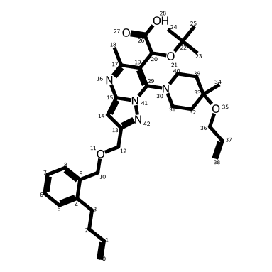 C=CCCc1ccccc1COCc1cc2nc(C)c(C(OC(C)(C)C)C(=O)O)c(N3CCC(C)(OCC=C)CC3)n2n1